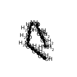 N=C(N)NCCC[C@H](N)C(=O)O.N=C(N)NCCC[C@H](N)C(=O)Oc1ccc(C[C@H](N)C(=O)O)cc1.N=C(N)NCCC[C@H](N)C(=O)Oc1ccc(C[C@H](N)C(=O)Oc2ccc(C[C@H](N)C(=O)OC(=O)[C@@H](N)Cc3ccc(OC(=O)[C@@H](N)Cc4ccc(OC(=O)[C@@H](N)Cc5ccc(O)cc5)cc4)cc3)cc2)cc1